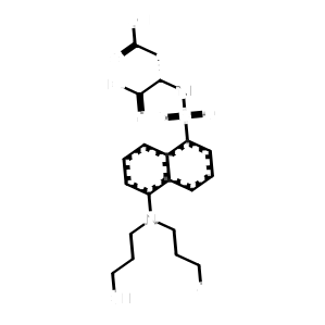 CCCCN(CCCC)c1cccc2c(S(=O)(=O)N[C@@H](CC(=O)O)C(=O)O)cccc12